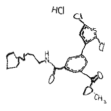 COC(=O)c1cc(C(=O)NCCN2CCCC2)cc(-c2cc(Cl)sc2Cl)c1.Cl